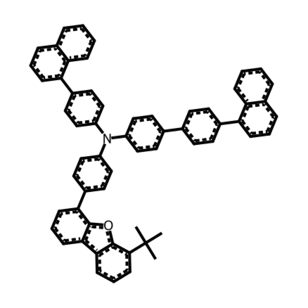 CC(C)(C)c1cccc2c1oc1c(-c3ccc(N(c4ccc(-c5ccc(-c6cccc7ccccc67)cc5)cc4)c4ccc(-c5cccc6ccccc56)cc4)cc3)cccc12